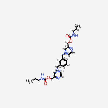 CCCNC(=O)OCc1c[n+](Cc2cccc(C[n+]3ccnc(COC(=O)NCCC)c3)c2)ccn1